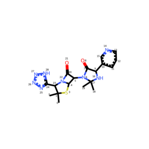 CC1(C)SC2C(N3C(=O)C(c4cccnc4)NC3(C)C)C(=O)N2C1c1nnn[nH]1